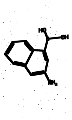 Nc1cc(B(O)O)c2ccccc2c1